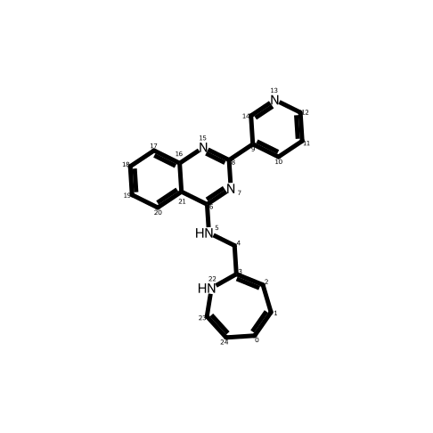 C1=CC=C(CNc2nc(-c3cccnc3)nc3ccccc23)NC=C1